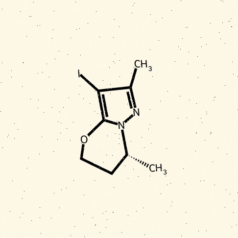 Cc1nn2c(c1I)OCC[C@H]2C